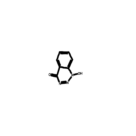 O=c1nnn(O)c2ccccc12